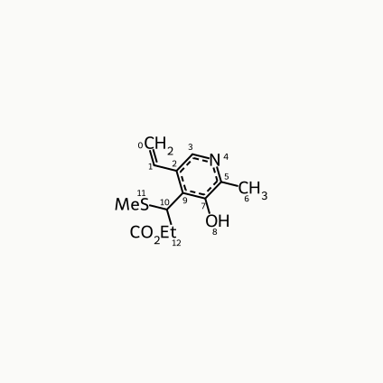 C=Cc1cnc(C)c(O)c1C(SC)C(=O)OCC